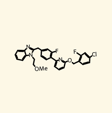 COCCn1c(Cc2ccc(-c3cccc(OCc4ccc(Cl)cc4F)n3)c(F)c2)nc2ccccc21